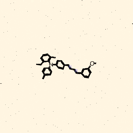 CCc1cccc(C)c1N(c1ccc(C)cc1)c1ccc(/C=C/C=C/c2cccc(OC)c2)cc1